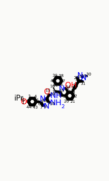 CC(C)Oc1ccc(-c2cnc(N)c(C(=O)N[C@@H](C)C3=Cc4cccc(C#Cc5cnn(C)c5)c4C(O)N3c3ccccc3)n2)cc1